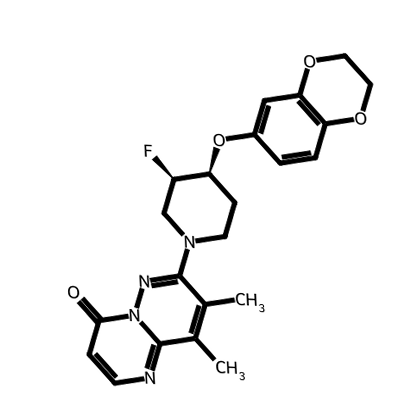 Cc1c(N2CC[C@H](Oc3ccc4c(c3)OCCO4)[C@H](F)C2)nn2c(=O)ccnc2c1C